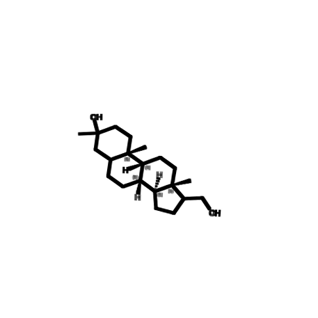 CC1(O)CC[C@@]2(C)C(CC[C@@H]3[C@H]2CC[C@]2(C)C(CO)CC[C@@H]32)C1